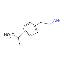 CC(C(=O)O)c1ccc(CC[NH])cc1